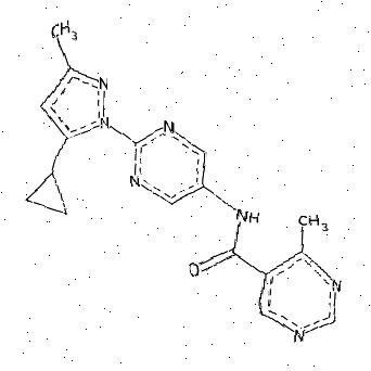 Cc1cc(C2CC2)n(-c2ncc(NC(=O)c3cncnc3C)cn2)n1